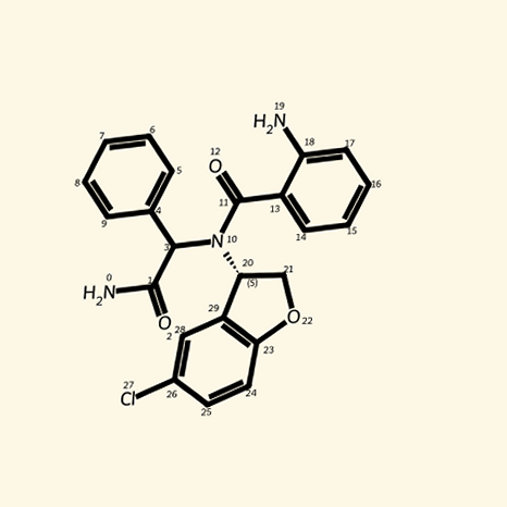 NC(=O)C(c1ccccc1)N(C(=O)c1ccccc1N)[C@@H]1COc2ccc(Cl)cc21